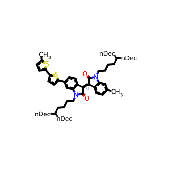 CCCCCCCCCCC(CCCCCCCCCC)CCCCN1C(=O)/C(=C2/C(=O)N(CCCCC(CCCCCCCCCC)CCCCCCCCCC)c3cc(-c4ccc(-c5ccc(C)s5)s4)ccc32)c2ccc(C)cc21